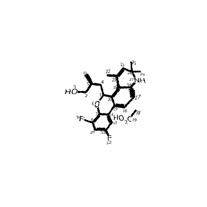 C=C(CO)CC1Oc2c(F)cc(F)cc2-c2ccc3c(c21)C(C)=CC(C)(C)N3.CC(=O)O